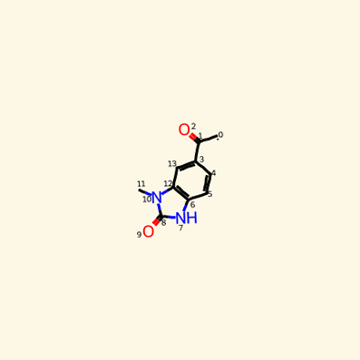 [CH2]C(=O)c1ccc2[nH]c(=O)n(C)c2c1